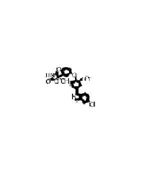 CCCc1cc(-c2nsc3cc(Cl)ccc23)ccc1Oc1cccc([C@@]2(C)OC(=O)NC2=O)c1